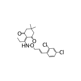 CCC(NOC/C=C/c1ccc(Cl)cc1Cl)=C1C(=O)CC(C)(C)CC1=O